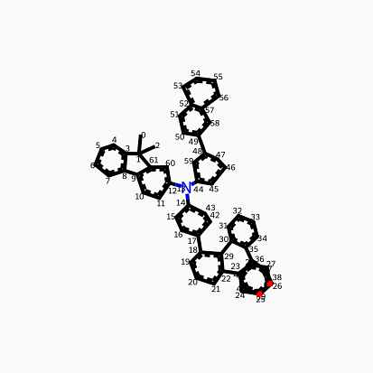 CC1(C)c2ccccc2-c2ccc(N(c3ccc(-c4cccc(-c5ccccc5)c4-c4ccccc4-c4ccccc4)cc3)c3cccc(-c4ccc5ccccc5c4)c3)cc21